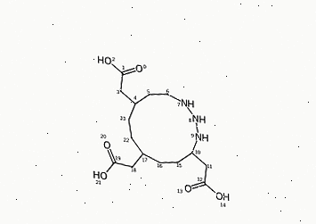 O=C(O)CC1CCNNNC(CC(=O)O)CCC(CC(=O)O)CC1